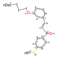 CCCCCCCCCCCCCOc1cccc(C=CC(=O)c2ccc(SCCC)cc2)c1